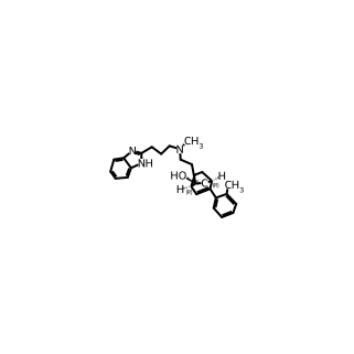 Cc1ccccc1C1=C[C@H]2CC[C@@H]1C[C@@]2(O)CCN(C)CCCc1nc2ccccc2[nH]1